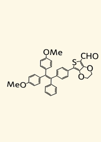 COc1ccc(C(=C(c2ccccc2)c2ccc(-c3sc(C=O)c4c3OCCO4)cc2)c2ccc(OC)cc2)cc1